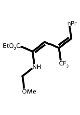 CCC/C=C(\C=C(/NCOC)C(=O)OCC)C(F)(F)F